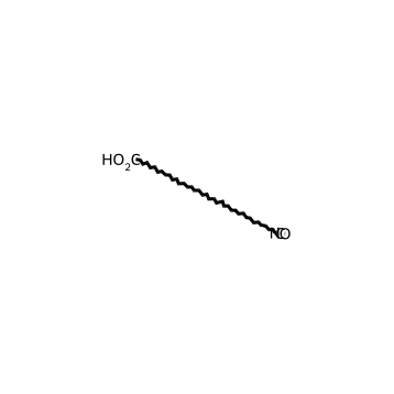 O=C=NCCCCCCCCCCCCCCCCCCCCCCCCCCCCCCCCCCCCCC(=O)O